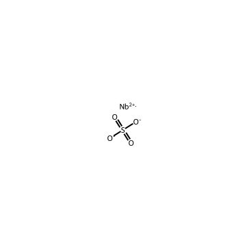 O=S(=O)([O-])[O-].[Nb+2]